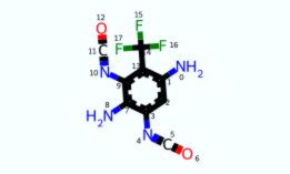 Nc1cc(N=C=O)c(N)c(N=C=O)c1C(F)(F)F